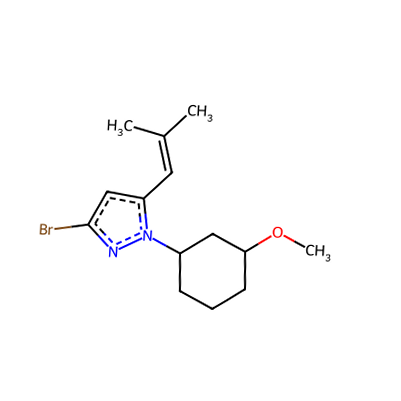 COC1CCCC(n2nc(Br)cc2C=C(C)C)C1